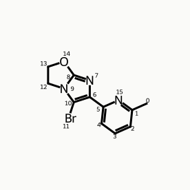 Cc1cccc(-c2nc3n(c2Br)CCO3)n1